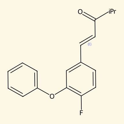 CC(C)C(=O)/C=C/c1ccc(F)c(Oc2ccccc2)c1